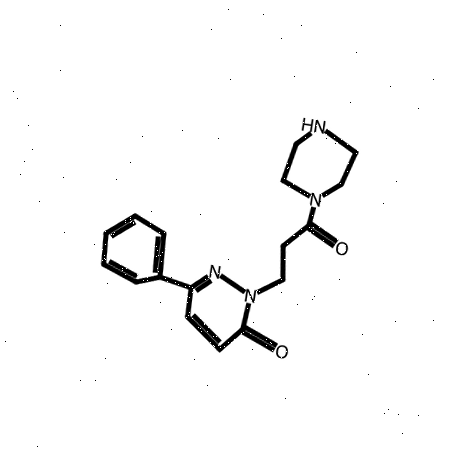 O=C(CCn1nc(-c2ccccc2)ccc1=O)N1CCNCC1